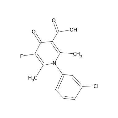 Cc1c(F)c(=O)c(C(=O)O)c(C)n1-c1cccc(Cl)c1